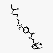 C=CC(=O)NCCCN(C)S(=O)(=O)c1ccc(C(=O)NCCC23CC4CC(CC(C4)C2)C3)cc1